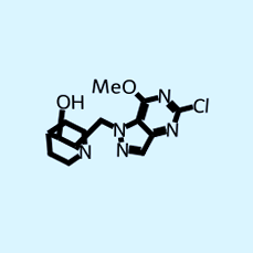 COc1nc(Cl)nc2cnn(CC3C(O)C4CCN3CC4)c12